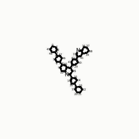 c1ccc(-c2ccc(-c3ccc4nc(-c5ccc(-c6ccccc6)cc5)cc(-c5ccc(-c6cnc7ccccc7c6)cc5)c4c3)cc2)cc1